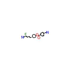 N#CC(F)=CC=C[C@H]1CC[C@H](OC(=O)c2ccc(C#N)cc2)CC1